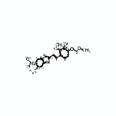 COCOc1ccc(/C=C/c2nc3cc(C)c([N+](=O)[O-])cc3s2)c(OC)c1Br